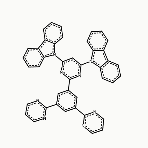 c1cnc(-c2cc(-c3ncccn3)cc(-c3nc(-n4c5ccccc5c5ccccc54)cc(-n4c5ccccc5c5ccccc54)n3)c2)nc1